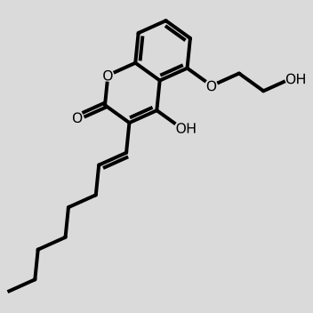 CCCCCCC=Cc1c(O)c2c(OCCO)cccc2oc1=O